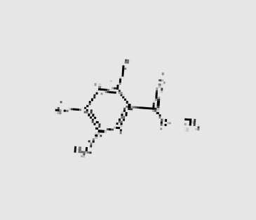 COC(=O)c1cc(C)c(Br)cc1F